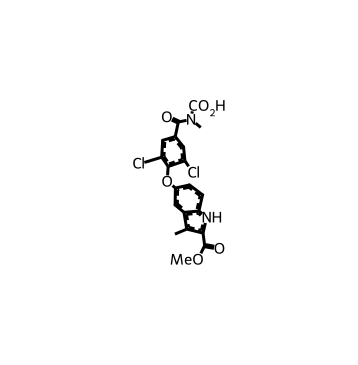 COC(=O)c1[nH]c2ccc(Oc3c(Cl)cc(C(=O)N(C)C(=O)O)cc3Cl)cc2c1C